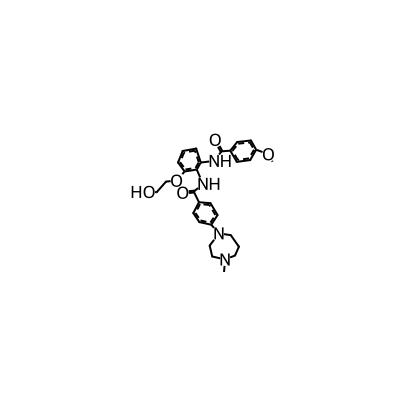 COc1ccc(C(=O)Nc2cccc(OCCO)c2NC(=O)c2ccc(N3CCCN(C)CC3)cc2)cc1